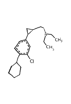 CCN(CC)CC1CC1c1ccc(C2CCCCC2)c(Cl)c1